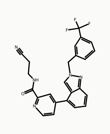 N#CCCNC(=O)c1cc(-c2cccc3nn(Cc4cccc(C(F)(F)F)c4)cc23)ccn1